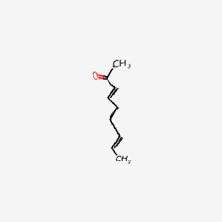 CC=CCCC=CC(C)=O